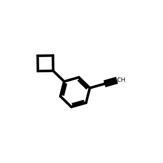 C#Cc1cccc(C2CCC2)c1